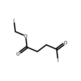 O=C(I)CCC(=O)OCI